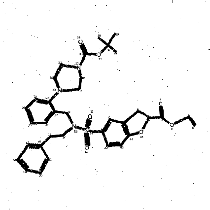 CCOC(=O)C1Cc2cc(S(=O)(=O)N(CCc3ccccc3)Cc3ccccc3N3CCN(C(=O)OC(C)(C)C)CC3)ccc2O1